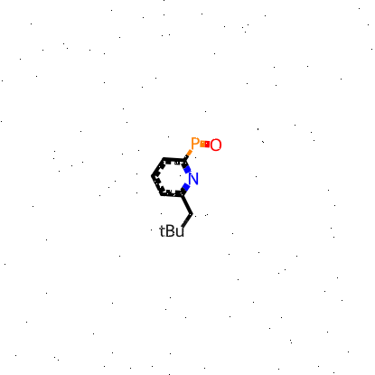 CC(C)(C)Cc1cccc(P=O)n1